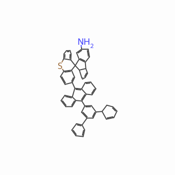 Nc1ccc2c(c1)C1(c3ccccc3Sc3ccc(-c4c5ccccc5c(-c5cc(-c6ccccc6)cc(C6C=CC=CC6)c5)c5ccccc45)cc31)C1C=CC=CC21